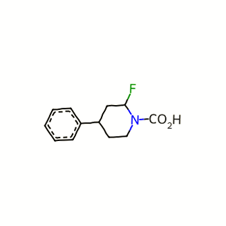 O=C(O)N1CCC(c2ccccc2)CC1F